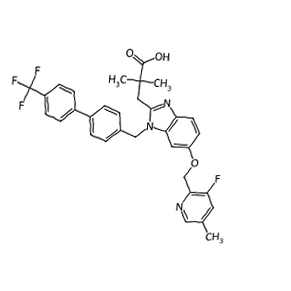 Cc1cnc(COc2ccc3nc(CC(C)(C)C(=O)O)n(Cc4ccc(-c5ccc(C(F)(F)F)cc5)cc4)c3c2)c(F)c1